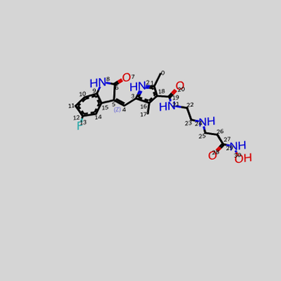 Cc1[nH]c(/C=C2\C(=O)Nc3ccc(F)cc32)c(C)c1C(=O)NCCNCCC(=O)NO